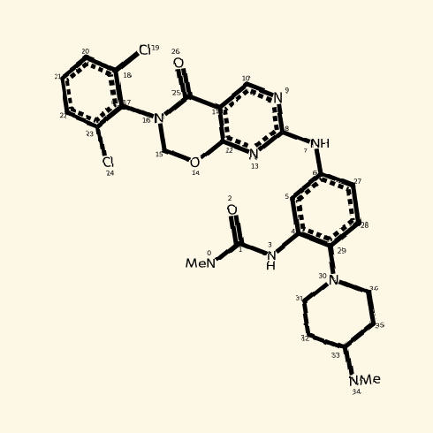 CNC(=O)Nc1cc(Nc2ncc3c(n2)OCN(c2c(Cl)cccc2Cl)C3=O)ccc1N1CCC(NC)CC1